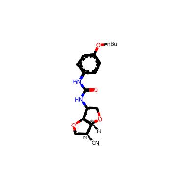 CCCCOc1ccc(NC(=O)NC2CO[C@H]3C2OC[C@@H]3C#N)cc1